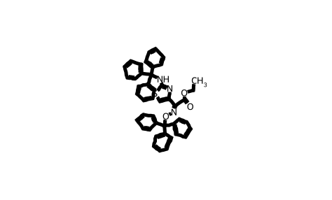 CCOC(=O)/C(=N/OC(c1ccccc1)(c1ccccc1)c1ccccc1)c1csc(NC(c2ccccc2)(c2ccccc2)c2ccccc2)n1